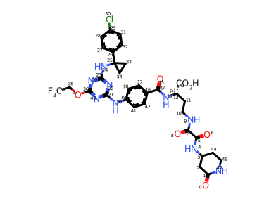 O=C1CC(NC(=O)C(=O)NCC[C@H](NC(=O)c2ccc(Nc3nc(NC4(c5ccc(Cl)cc5)CC4)nc(OCC(F)(F)F)n3)cc2)C(=O)O)CCN1